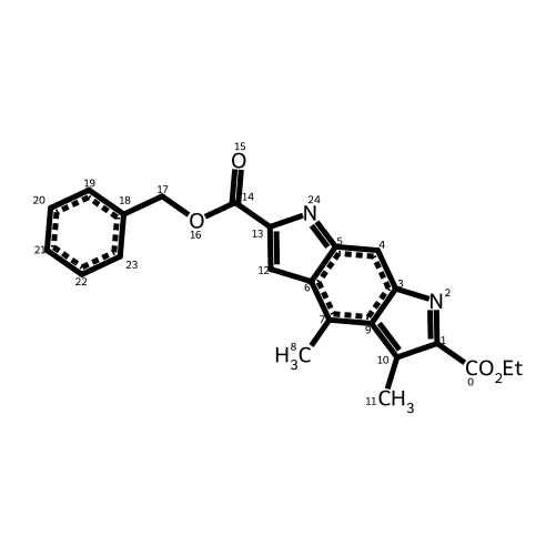 CCOC(=O)C1=Nc2cc3c(c(C)c2=C1C)C=C(C(=O)OCc1ccccc1)N=3